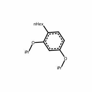 CCCCCCc1ccc(OC(C)C)cc1OC(C)C